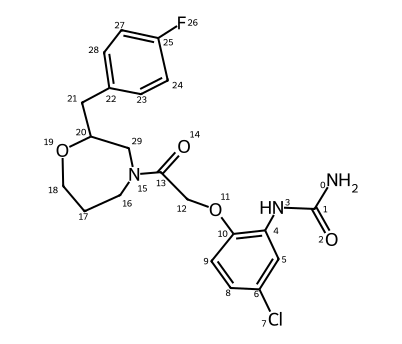 NC(=O)Nc1cc(Cl)ccc1OCC(=O)N1CCCOC(Cc2ccc(F)cc2)C1